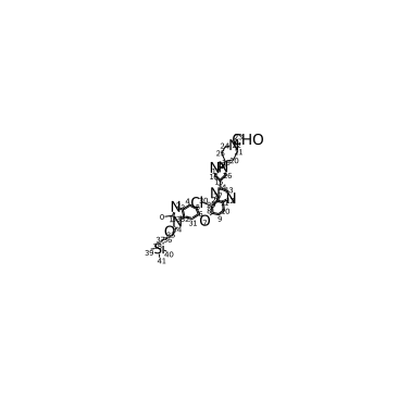 Cc1nc2ccc(Oc3ccc4ncc(-c5cnn(C6CCN(C=O)CC6)c5)nc4c3Cl)cc2n1COCC[Si](C)(C)C